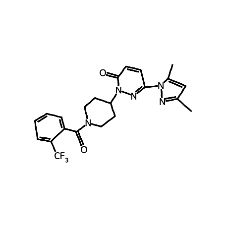 Cc1cc(C)n(-c2ccc(=O)n(C3CCN(C(=O)c4ccccc4C(F)(F)F)CC3)n2)n1